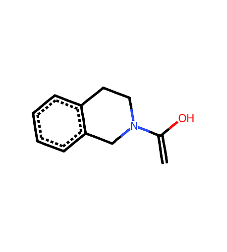 C=C(O)N1CCc2ccccc2C1